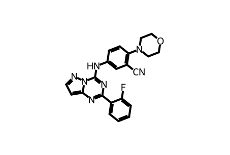 N#Cc1cc(Nc2nc(-c3ccccc3F)nc3ccnn23)ccc1N1CCOCC1